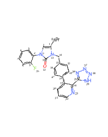 CCCc1cn(-c2ccccc2F)c(=O)n1Cc1ccc(-c2cccnc2-c2nnn[nH]2)cc1